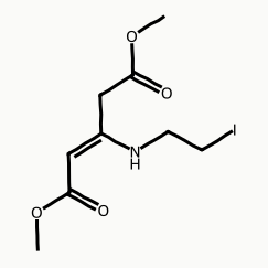 COC(=O)C=C(CC(=O)OC)NCCI